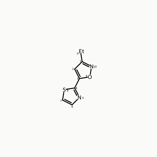 CCc1cc(-c2nccs2)on1